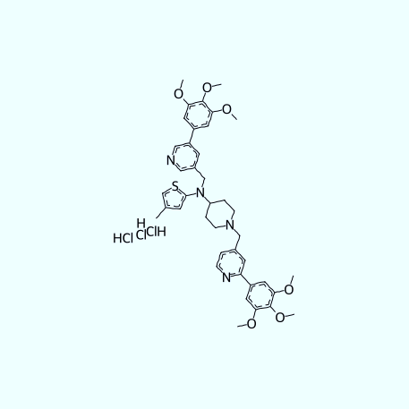 COc1cc(-c2cncc(CN(c3cc(C)cs3)C3CCN(Cc4ccnc(-c5cc(OC)c(OC)c(OC)c5)c4)CC3)c2)cc(OC)c1OC.Cl.Cl.Cl